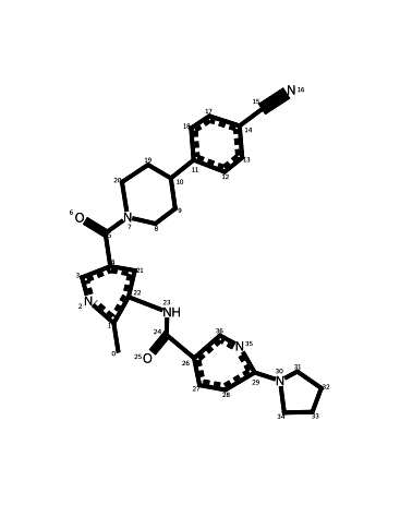 Cc1ncc(C(=O)N2CCC(c3ccc(C#N)cc3)CC2)cc1NC(=O)c1ccc(N2CCCC2)nc1